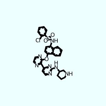 O=S(=O)(Nc1ccc(Oc2nccnc2-c2ccnc(NC3CCCNC3)n2)c2ccccc12)c1ccccc1Cl